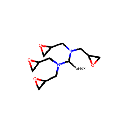 CCCCCCC(N(CC1CO1)CC1CO1)N(CC1CO1)CC1CO1